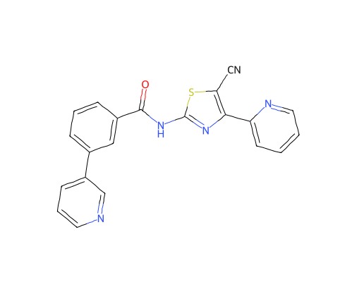 N#Cc1sc(NC(=O)c2cccc(-c3cccnc3)c2)nc1-c1ccccn1